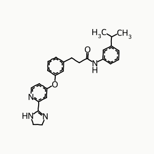 CC(C)c1cccc(NC(=O)CCc2cccc(Oc3ccnc(C4=NCCN4)c3)c2)c1